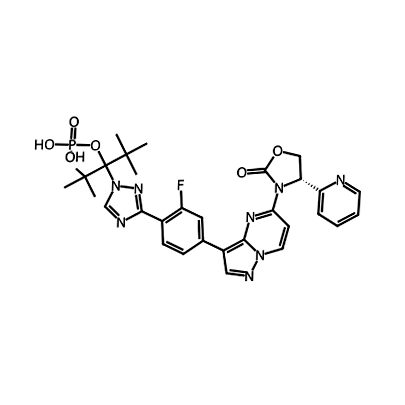 CC(C)(C)C(OP(=O)(O)O)(n1cnc(-c2ccc(-c3cnn4ccc(N5C(=O)OC[C@@H]5c5ccccn5)nc34)cc2F)n1)C(C)(C)C